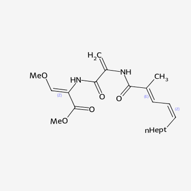 C=C(NC(=O)/C(C)=C/C=C\CCCCCCC)C(=O)N/C(=C\OC)C(=O)OC